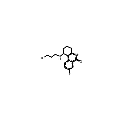 O=c1[nH]c2c(c3ccc(F)cc13)C(NCCCO)CCC2